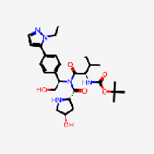 CCn1nccc1-c1ccc([C@H](CO)N(C(=O)[C@@H]2C[C@@H](O)CN2)C(=O)[C@@H](NC(=O)OC(C)(C)C)C(C)C)cc1